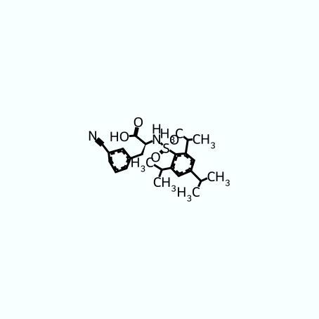 CC(C)c1cc(C(C)C)c(S(=O)(=O)N[C@@H](Cc2cccc(C#N)c2)C(=O)O)c(C(C)C)c1